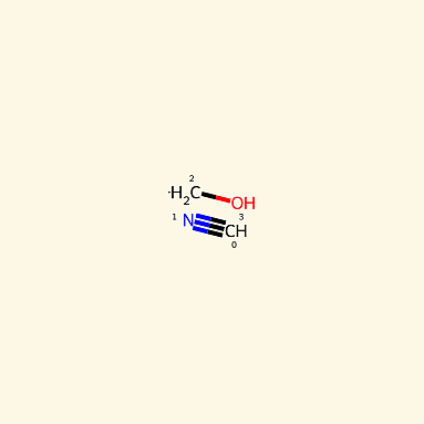 C#N.[CH2]O